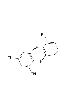 N#Cc1cc(Cl)cc(OC2=C(F)[CH]CC=C2Br)c1